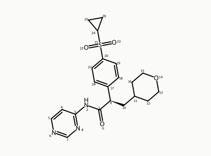 O=C(Nc1ccncn1)[C@H](CC1CCOCC1)c1ccc(S(=O)(=O)C2CC2)cc1